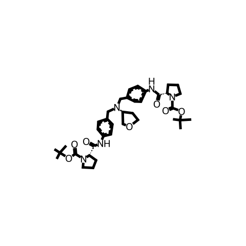 CC(C)(C)OC(=O)N1CCC[C@H]1C(=O)Nc1ccc(CN(Cc2ccc(NC(=O)[C@@H]3CCCN3C(=O)OC(C)(C)C)cc2)[C@@H]2CCOC2)cc1